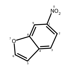 O=[N+]([O-])c1ccc2[c]coc2c1